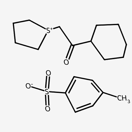 Cc1ccc(S(=O)(=O)[O-])cc1.O=C(C[S+]1CCCC1)C1CCCCC1